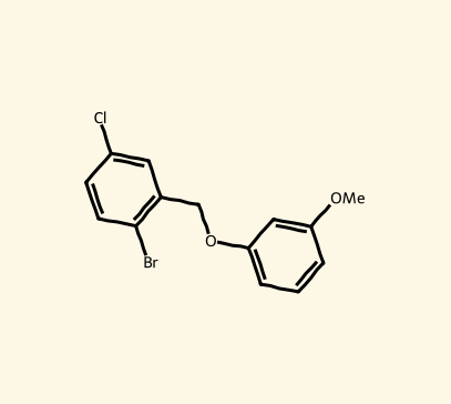 COc1cccc(OCc2cc(Cl)ccc2Br)c1